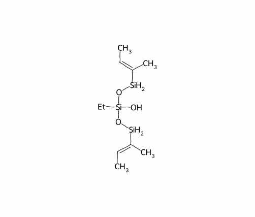 CC=C(C)[SiH2]O[Si](O)(CC)O[SiH2]C(C)=CC